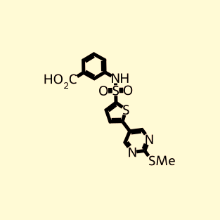 CSc1ncc(-c2ccc(S(=O)(=O)Nc3cccc(C(=O)O)c3)s2)cn1